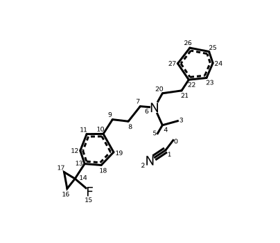 CC#N.CC(C)N(CCCc1ccc(C2(F)CC2)cc1)CCc1ccccc1